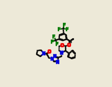 C[C@@H](OC1OCCN(Cc2ncn(CC(=O)N3CCCC3)n2)C1c1ccccc1)c1cc(C(F)(F)F)cc(C(F)(F)F)c1